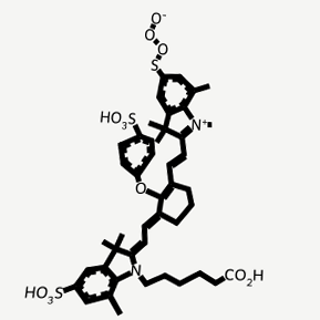 Cc1cc(S(=O)(=O)O)cc2c1N(CCCCCC(=O)O)/C(=C/C=C1\CCCC(/C=C/C3=[N+](C)c4c(C)cc(SOO[O-])cc4C3(C)C)=C1Oc1ccc(S(=O)(=O)O)cc1)C2(C)C